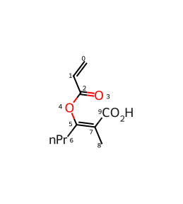 C=CC(=O)OC(CCC)=C(C)C(=O)O